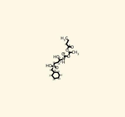 CCCC(=O)OC(C)OC(=O)NC(O)CCP(=O)(O)CC1CCCCC1